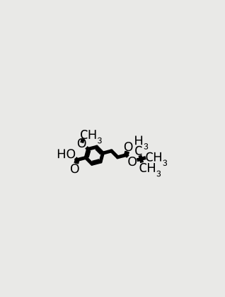 COc1cc(CCC(=O)OC(C)(C)C)ccc1C(=O)O